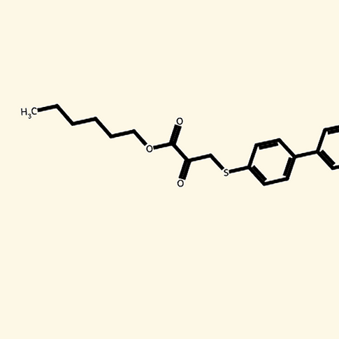 CCCCCCOC(=O)C(=O)CSc1ccc(-c2ccccc2)cc1